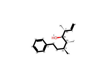 C=C[C@@H](C)[C@H](O)[C@H](C)[C@@H](C)CCc1ccccc1